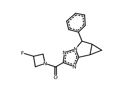 O=C(c1nc2n(n1)C(c1ccccc1)C1CC21)N1CC(F)C1